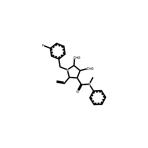 C=CC1C(C(=O)N(C)c2ccccc2)C(C=O)C(C=O)N1Cc1cccc(F)c1